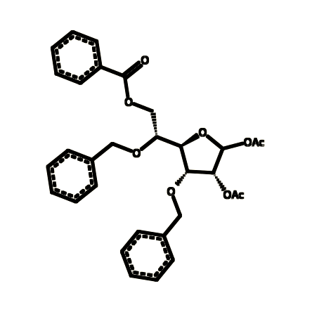 CC(=O)OC1O[C@H]([C@@H](COC(=O)c2ccccc2)OCc2ccccc2)[C@@H](OCc2ccccc2)[C@H]1OC(C)=O